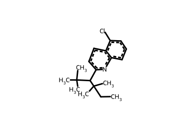 CCC(C)(C)C(c1ccc2c(Cl)cccc2n1)C(C)(C)C